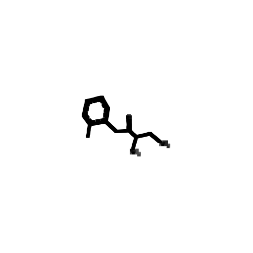 Cc1ccccc1CC(=O)C(N)CN